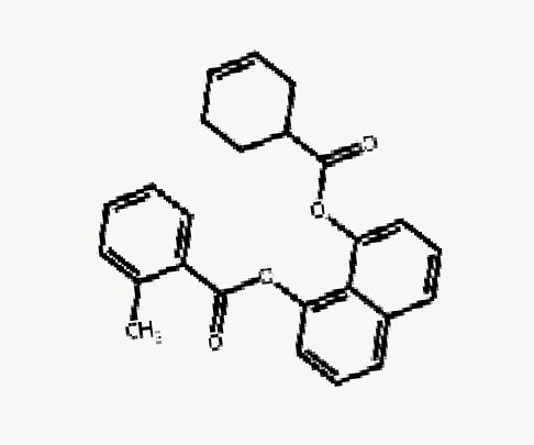 Cc1ccccc1C(=O)Oc1cccc2cccc(OC(=O)C3CC=CCC3)c12